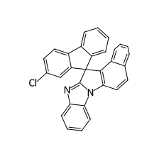 Clc1ccc2c(c1)C1(c3ccccc3-2)c2c(ccc3ccccc23)-n2c1nc1ccccc12